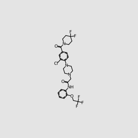 O=C(CN1CCN(c2ccc(C(=O)N3CCC(F)(F)CC3)cc2Cl)CC1)Nc1ccccc1OCC(F)(F)F